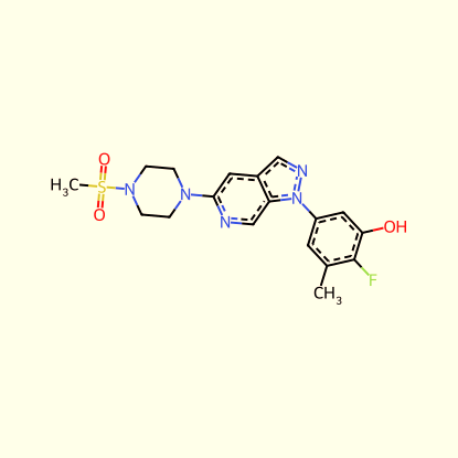 Cc1cc(-n2ncc3cc(N4CCN(S(C)(=O)=O)CC4)ncc32)cc(O)c1F